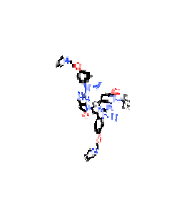 CCC(CCc1ccc(OCCN2CCCC2)cc1Nc1ncc2c(n1)N(C(CC)CC)C(=O)C2)N1C(=O)Cc2cnc(Nc3ccc(OCCN4CCCC4)cc3)nc21